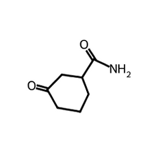 NC(=O)C1CCCC(=O)C1